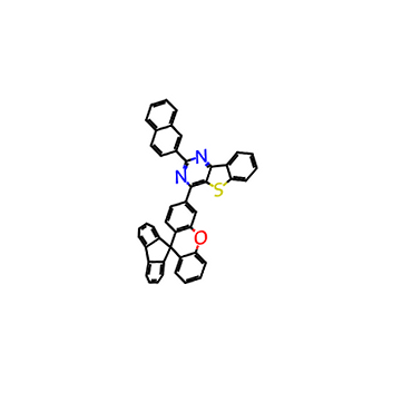 c1ccc2c(c1)Oc1cc(-c3nc(-c4ccc5ccccc5c4)nc4c3sc3ccccc34)ccc1C21c2ccccc2-c2ccccc21